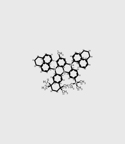 Cc1cc2c3c(c1)N(c1ccc4c5c(cccc15)CCC4)c1cc4c(cc1B3c1cc([Si](C)(C)C)ccc1N2c1ccc2c3c(cccc13)CCC2)C(C)(C)CCC4(C)C